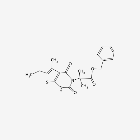 CCc1sc2[nH]c(=O)n(C(C)(C)C(=O)OCc3ccccc3)c(=O)c2c1C